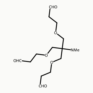 CNC(COCCC=O)(COCCC=O)COCCC=O